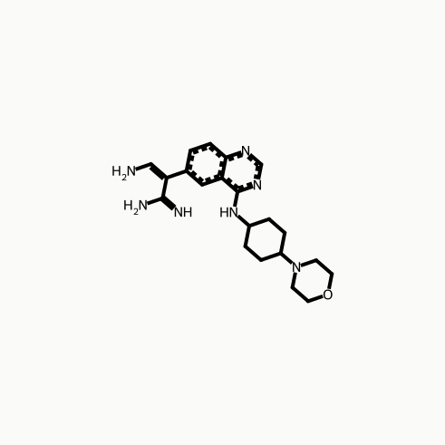 N=C(N)/C(=C\N)c1ccc2ncnc(NC3CCC(N4CCOCC4)CC3)c2c1